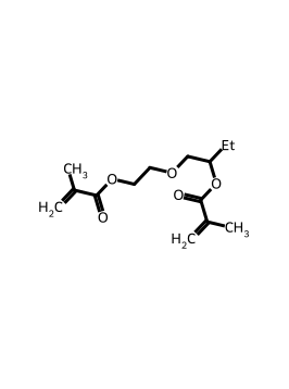 C=C(C)C(=O)OCCOCC(CC)OC(=O)C(=C)C